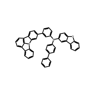 c1ccc(-c2ccc(N(c3cccc(-c4ccc5c6cccc7c8ccccc8n(c5c4)c76)c3)c3ccc4oc5ccccc5c4c3)cc2)cc1